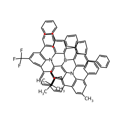 Cc1cc(-c2ccccc2)c(N2c3cc(-c4ccccc4)cc(-c4ccccc4)c3B3c4c(-c5ccccc5)cc(-c5ccccc5)cc4N(c4c(-c5ccccc5)cc(C(F)(F)F)cc4-c4ccccc4)c4cc(C(C)(C)C)cc2c43)c(-c2ccccc2)c1